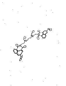 O=CN(CCCN(C=O)CCN1C(=O)c2cccc3cc(N=O)cc(c23)C1=O)CCN1C(=O)c2cccc3cc(N=O)cc(c23)C1=O